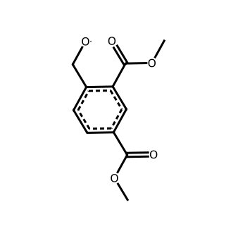 COC(=O)c1ccc(C[O])c(C(=O)OC)c1